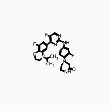 CC(C)N1CCOc2c(F)cc(-c3nc(Nc4ccc(N5CCNC(=O)C5)c(F)c4)ncc3F)cc21